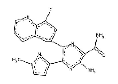 Cn1ccc(-c2nc(N)c(C(N)=O)nc2-c2cc(F)c3ncccc3c2)n1